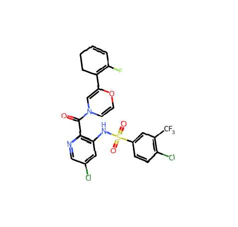 O=C(c1ncc(Cl)cc1NS(=O)(=O)c1ccc(Cl)c(C(F)(F)F)c1)N1C=COC(C2=C(F)C=CCC2)=C1